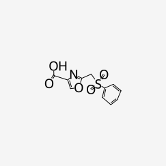 O=C(O)c1coc(CS(=O)(=O)c2ccccc2)n1